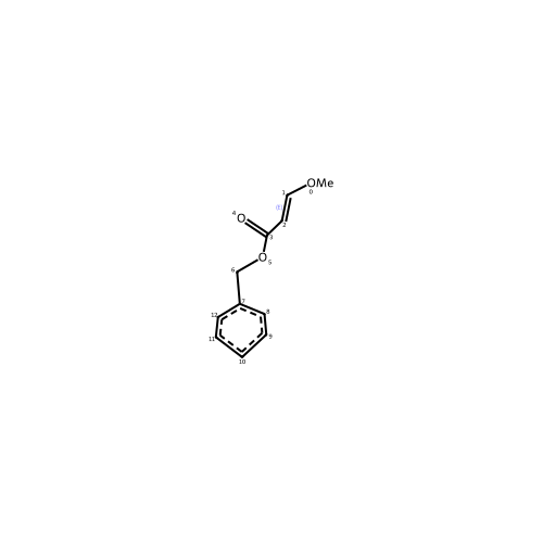 CO/C=C/C(=O)OCc1ccccc1